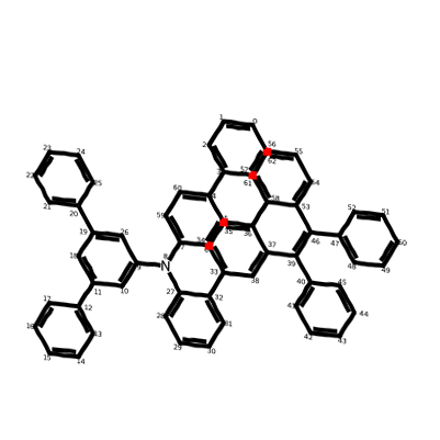 c1ccc(-c2ccc(N(c3cc(-c4ccccc4)cc(-c4ccccc4)c3)c3ccccc3-c3ccc4c(c3)c(-c3ccccc3)c(-c3ccccc3)c3ccccc34)cc2)cc1